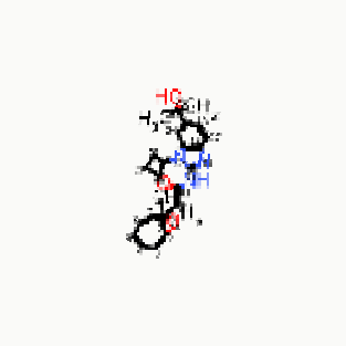 CC1C2=CC=CC=C1[C@](C)(CC(=O)Nc1nc3ccc(C(C)(C)O)cc3n1C1CCC1)O2